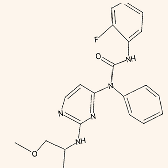 COCC(C)Nc1nccc(N(C(=O)Nc2ccccc2F)c2ccccc2)n1